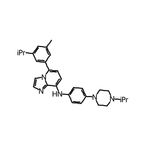 Cc1cc(-c2ccc(Nc3ccc(N4CCN(C(C)C)CC4)cc3)c3nccn23)cc(C(C)C)c1